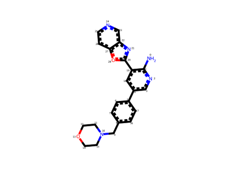 Nc1ncc(-c2ccc(CN3CCOCC3)cc2)cc1-c1nc2cnccc2o1